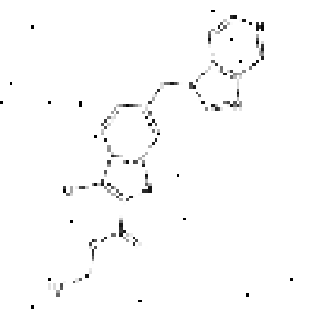 CCOC(=O)c1sc2cc(Cn3cnc4cnccc43)ccc2c1Cl